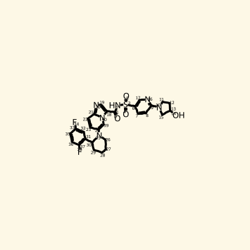 O=C(NS(=O)(=O)c1ccc(N2CCC(O)C2)nc1)c1cnc2ccc(N3CCCCC3c3cc(F)ccc3F)cn12